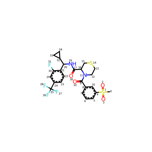 CS(=O)(=O)c1cccc(C(=O)N2CCSCC2C(=O)NC(c2ccc(C(F)(F)F)cc2F)C2CC2)c1